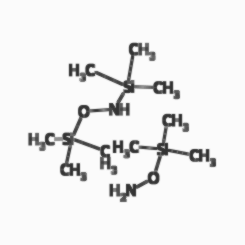 C[Si](C)(C)NO[Si](C)(C)C.C[Si](C)(C)ON